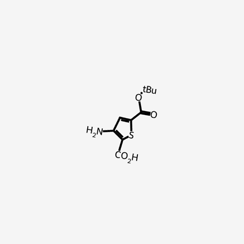 CC(C)(C)OC(=O)c1cc(N)c(C(=O)O)s1